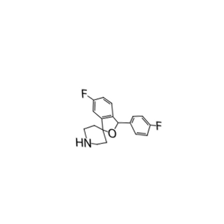 Fc1ccc(C2OC3(CCNCC3)c3cc(F)ccc32)cc1